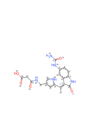 C/C(=C1\C(=O)Nc2ccc(NC(N)=O)cc21)c1cc(CNC(=O)CC(=O)O)c[nH]1